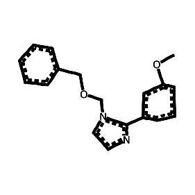 COc1cccc(-c2nccn2COCc2ccccc2)c1